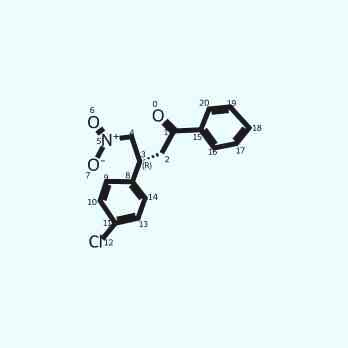 O=C(C[C@@H](C[N+](=O)[O-])c1ccc(Cl)cc1)c1ccccc1